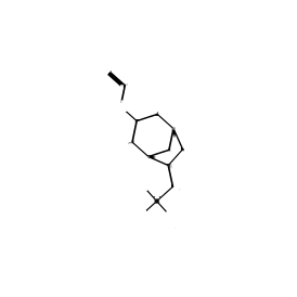 C=COC1CC2CC(C1)C(CC(O)(C(F)(F)F)C(F)(F)F)C2